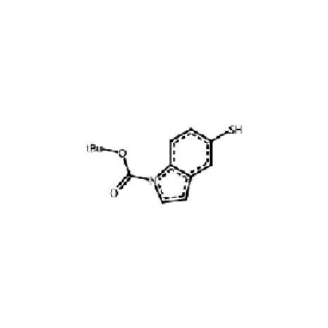 CC(C)(C)OC(=O)n1ccc2cc(S)ccc21